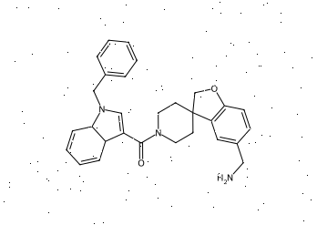 NCc1ccc2c(c1)C1(CCN(C(=O)C3=CN(Cc4ccccc4)C4C=CC=CC34)CC1)CO2